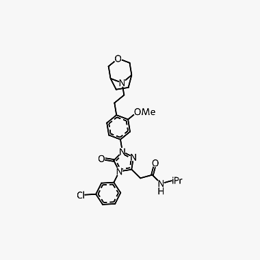 COc1cc(-n2nc(CC(=O)NC(C)C)n(-c3cccc(Cl)c3)c2=O)ccc1CCN1C2CCC1COC2